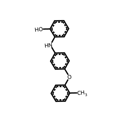 Cc1ccccc1Oc1ccc(Nc2ccccc2O)cc1